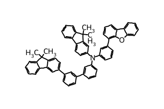 CC1(C)c2ccccc2-c2cc(-c3cccc(-c4cccc(N(c5cccc(-c6cccc7c6oc6ccccc67)c5)c5ccc6c(c5)C(C)(C)c5ccccc5-6)c4)c3)ccc21